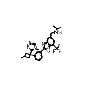 CC1CC(c2cccc(-c3nc4cc(CNC(C)C)cc(C(F)(F)F)c4o3)c2)(c2nncn2C)C1